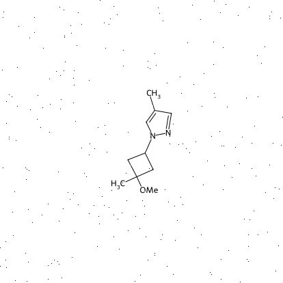 COC1(C)CC(n2cc(C)cn2)C1